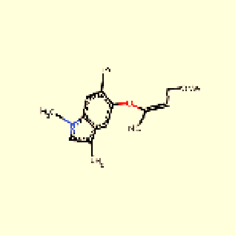 COC/C=C(/C#N)Oc1cc2c(C)cn(C)c2cc1C(C)C